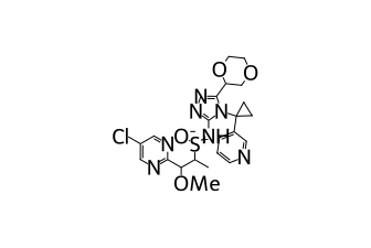 COC(c1ncc(Cl)cn1)C(C)[S+]([O-])Nc1nnc(C2COCCO2)n1C1(c2cccnc2)CC1